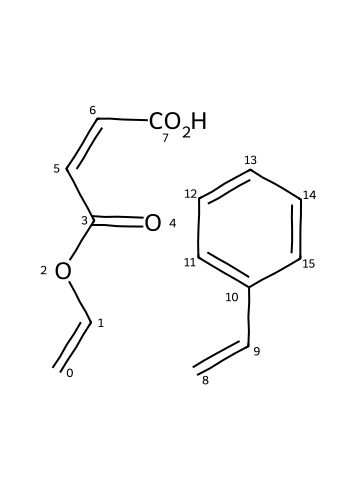 C=COC(=O)/C=C\C(=O)O.C=Cc1ccccc1